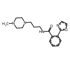 CN1CCN(CCCNC(=O)c2ccccc2-c2ncco2)CC1